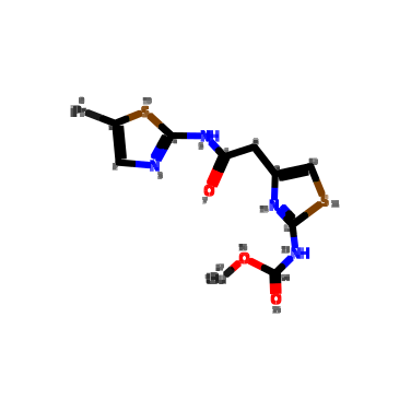 CC(C)c1cnc(NC(=O)Cc2csc(NC(=O)OC(C)(C)C)n2)s1